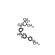 COc1ccc(-c2cnc(Nc3ccc(C(=O)N4CC(C)OC(C)C4)cc3)nc2)cc1